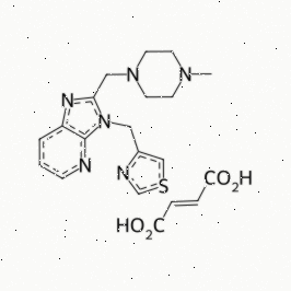 CN1CCN(Cc2nc3cccnc3n2Cc2cscn2)CC1.O=C(O)C=CC(=O)O